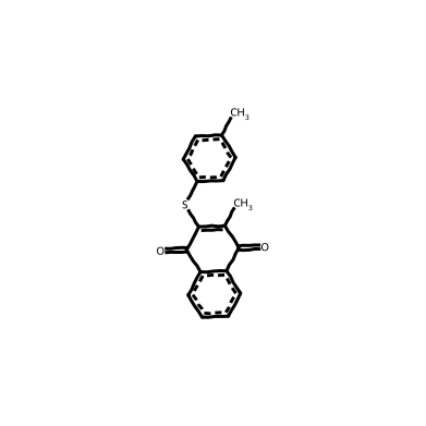 CC1=C(Sc2ccc(C)cc2)C(=O)c2ccccc2C1=O